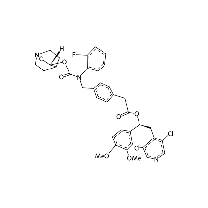 COc1ccc([C@H](Cc2c(Cl)cncc2Cl)OC(=O)Cc2ccc(CN(C(=O)O[C@H]3CN4CCC3CC4)c3ccccc3F)cc2)cc1OC